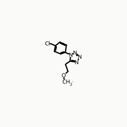 [CH2]OCCc1nnnn1-c1ccc(Cl)cc1